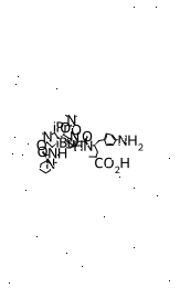 CC[C@H](C)[C@H](NC(=O)[C@H]1CCCCN1C)C(=O)N(C)[C@H](C[C@@H](OC(=O)N(C)C)c1nc(C(=O)N[C@@H](Cc2ccc(N)cc2)C[C@H](C)C(=O)O)cs1)C(C)C